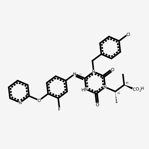 C[C@@H](C(=O)O)[C@H](C)n1c(=O)[nH]/c(=N\c2ccc(Oc3ccccn3)c(F)c2)n(Cc2ccc(Cl)cc2)c1=O